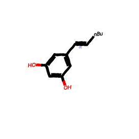 CCCC/C=C/c1cc(O)cc(O)c1